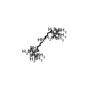 BB(B)B(B)B(B(B)B)B1CC1CCCCNCCCCC1CB1B(B(B)B)B(B)B(B)B